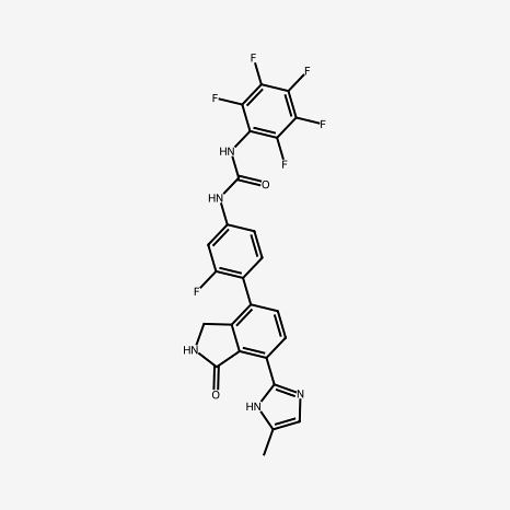 Cc1cnc(-c2ccc(-c3ccc(NC(=O)Nc4c(F)c(F)c(F)c(F)c4F)cc3F)c3c2C(=O)NC3)[nH]1